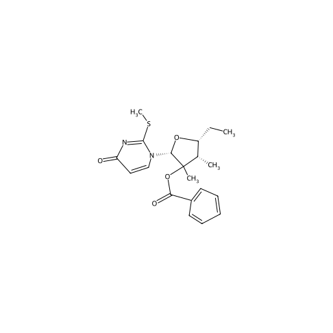 CC[C@H]1O[C@@H](n2ccc(=O)nc2SC)C(C)(OC(=O)c2ccccc2)[C@H]1C